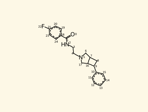 O=C(NCCN1CC2CC(c3ccccc3)C2C1)c1ccc(F)cc1